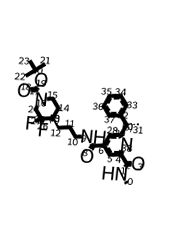 CNC(=O)c1cc(C(=O)NCCC[C@@H]2CCN(C(=O)OC(C)(C)C)CC2(F)F)cc([C@@H](C)c2ccccc2)n1